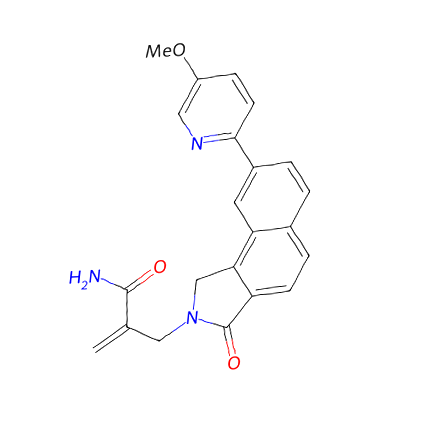 C=C(CN1Cc2c(ccc3ccc(-c4ccc(OC)cn4)cc23)C1=O)C(N)=O